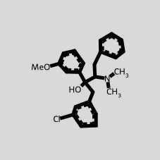 COc1cccc(C(O)(Cc2cccc(Cl)c2)C(Cc2ccccc2)N(C)C)c1